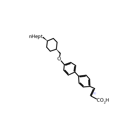 CCCCCCC[C@H]1CC[C@@H](COc2ccc(-c3ccc(/C=C/C(=O)O)cc3)cc2)CC1